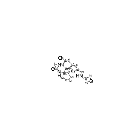 O=C1Nc2c(Cl)cc3cc(CNC4COC4)oc3c2C2(CCCCC2)N1